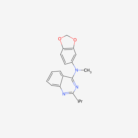 CC(C)c1nc(N(C)c2ccc3c(c2)OCO3)c2ccccc2n1